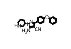 N#Cc1c(-c2ccc(Oc3ccccc3)cc2)nn([C@@H]2CCCNC2)c1N